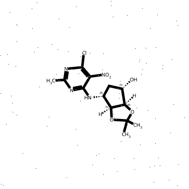 Cc1nc(Cl)c([N+](=O)[O-])c(N[C@@H]2C[C@H](O)[C@H]3OC(C)(C)O[C@H]32)n1